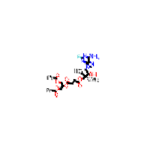 C#C[C@](COC(=O)CCC(=O)OC(COC(=O)C(C)C)COC(=O)C(C)C)(OC)[C@@H](O)Cn1cnc2c(N)nc(F)nc21